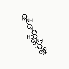 Cc1cc(S(=O)(=O)N(C)C)cc(C)c1C(=O)NC(Cc1ccc(N2CCC(CNc3ccccn3)CC2)cc1)C(=O)O